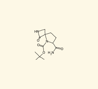 CC(C)(C)OC(=O)N1C(C(N)=O)CCC12CNC2=O